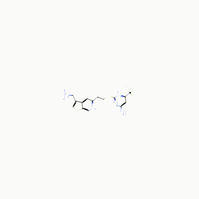 CN(C)Cc1csc2cnc(CCSc3nc(N)cc(C(F)(F)F)n3)cc12